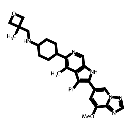 COc1cc(-c2[nH]c3cnc(C4CCC(NCC5(C)COC5)CC4)c(C)c3c2C(C)C)cn2ncnc12